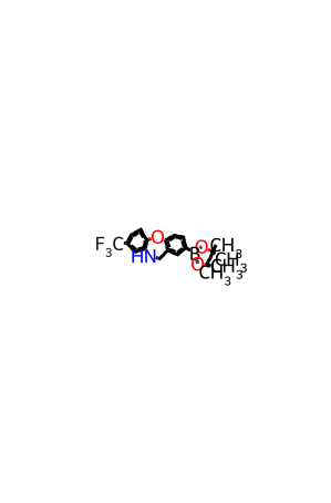 CC1(C)OB(c2ccc3c(c2)CNc2cc(C(F)(F)F)ccc2O3)OC1(C)C